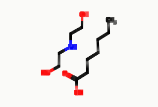 CCCCCCC(=O)O.OCCNCCO